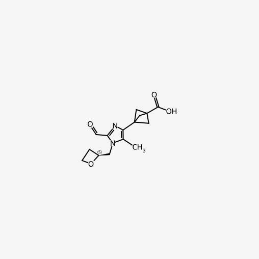 Cc1c(C23CC(C(=O)O)(C2)C3)nc(C=O)n1C[C@@H]1CCO1